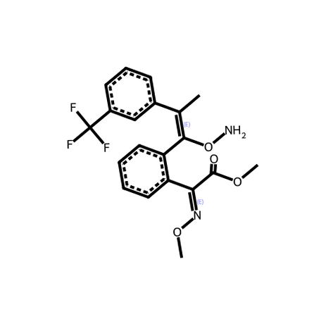 CO/N=C(/C(=O)OC)c1ccccc1/C(ON)=C(/C)c1cccc(C(F)(F)F)c1